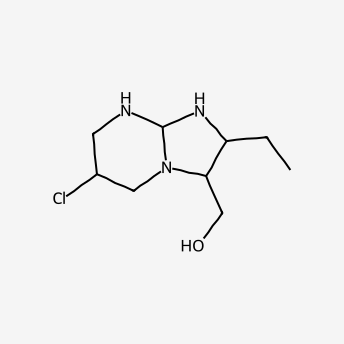 CCC1NC2NCC(Cl)CN2C1CO